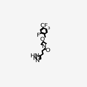 O=C(CCc1cnn[nH]1)N1CC(OCc2ccc(C(F)(F)F)cc2F)C1